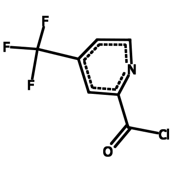 O=C(Cl)c1cc(C(F)(F)F)ccn1